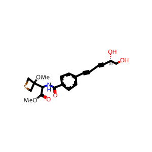 COC(=O)C(NC(=O)c1ccc(C#CC#C[C@H](O)CO)cc1)C1(OC)CSC1